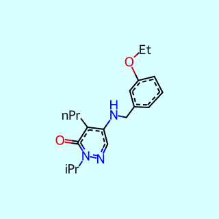 CCCc1c(NCc2cccc(OCC)c2)cnn(C(C)C)c1=O